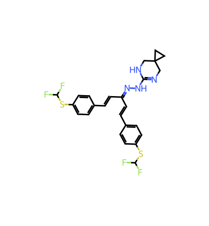 FC(F)Sc1ccc(C=CC(C=Cc2ccc(SC(F)F)cc2)=NNC2=NCC3(CC3)CN2)cc1